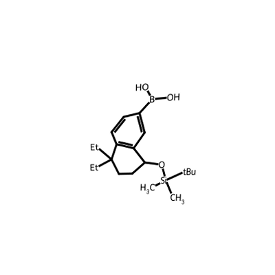 CCC1(CC)CCC(O[Si](C)(C)C(C)(C)C)c2cc(B(O)O)ccc21